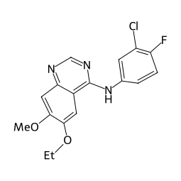 CCOc1cc2c(Nc3ccc(F)c(Cl)c3)ncnc2cc1OC